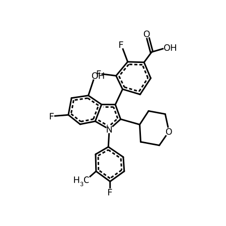 Cc1cc(-n2c(C3CCOCC3)c(-c3ccc(C(=O)O)c(F)c3F)c3c(O)cc(F)cc32)ccc1F